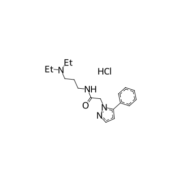 CCN(CC)CCCNC(=O)Cn1nccc1-c1ccccc1.Cl